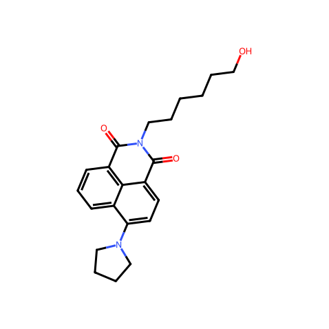 O=C1c2cccc3c(N4CCCC4)ccc(c23)C(=O)N1CCCCCCO